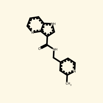 Cc1cc(CNC(=O)c2c[nH]c3cccnc23)ccn1